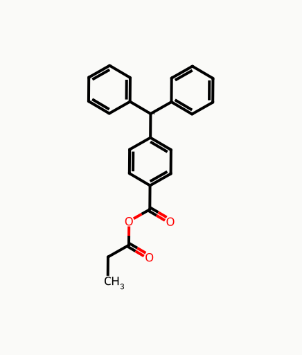 CCC(=O)OC(=O)c1ccc([C](c2ccccc2)c2ccccc2)cc1